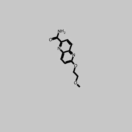 COCCOc1ccc2nc(C(N)=O)c[c]c2n1